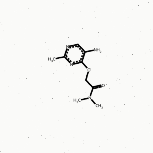 Cc1ncc(N)c(OCC(=O)N(C)C)n1